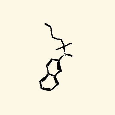 CCCCC(C)(C)N(C)c1ccc2ccccc2c1